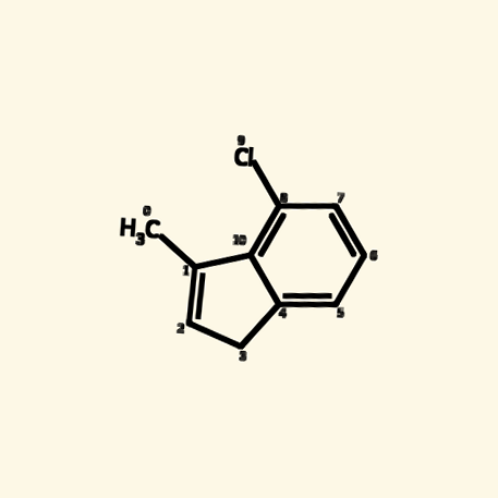 CC1=CCc2cccc(Cl)c21